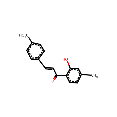 Cc1ccc(C(=O)C=Cc2ccc(C(=O)O)cc2)c(O)c1